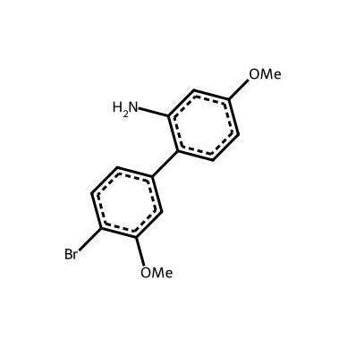 COc1ccc(-c2ccc(Br)c(OC)c2)c(N)c1